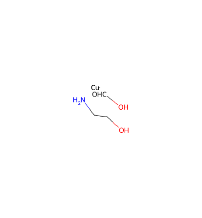 NCCO.O=CO.[Cu]